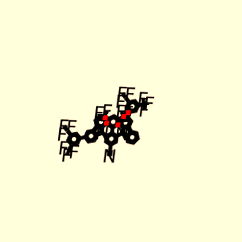 N#Cc1cc(-n2c3ccccc3c3cc(-c4cc(C(F)(F)F)cc(C(F)(F)F)c4)ccc32)c(-c2cc(C(F)(F)F)cc(C(F)(F)F)c2)c(-n2c3ccccc3c3cc(-c4cc(C(F)(F)F)cc(C(F)(F)F)c4)ccc32)c1